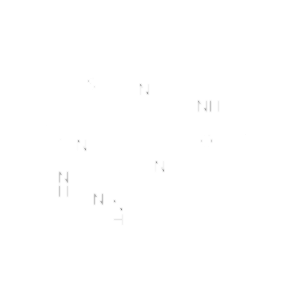 O=C(Cc1ccccc1)Nc1cncc(-c2cc3c(-c4nc5c(-c6ccsc6)cccc5[nH]4)n[nH]c3cn2)c1